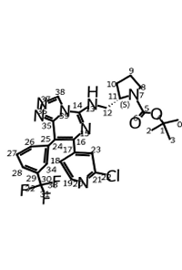 CC(C)(C)OC(=O)N1CCC[C@H]1CNc1nc(-c2ccnc(Cl)c2)c(-c2cccc(C(F)(F)F)c2)c2nncn12